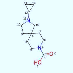 O=C(O)N1CCC2(CC1)CCN(C1CC1)C2